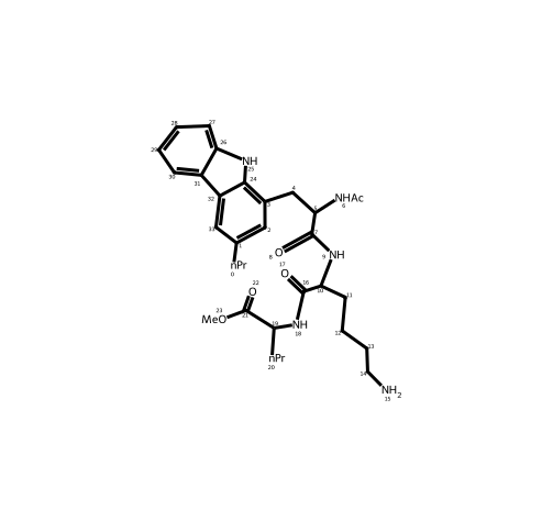 CCCc1cc(CC(NC(C)=O)C(=O)NC(CCCCN)C(=O)NC(CCC)C(=O)OC)c2[nH]c3ccccc3c2c1